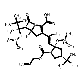 C=CCOC(=O)N1C[C@@H](C(C)(C)C)C[C@@]1(/C=C(\C)C1=C(C(=O)O)N2C(=O)[C@H]([C@@](C)(O[SiH](C)C)C(C)(C)C)[C@H]2C1)O[SiH](C)C